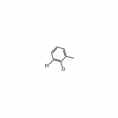 [CH2]Cc1cccc(C)c1Cl